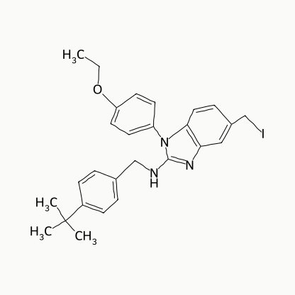 CCOc1ccc(-n2c(NCc3ccc(C(C)(C)C)cc3)nc3cc(CI)ccc32)cc1